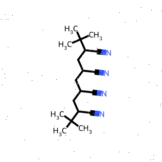 CC(C)(C)C(C#N)CC(C#N)CC(C#N)CC(C#N)C(C)(C)C